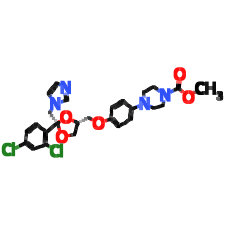 COC(=O)N1CCN(c2ccc(OC[C@@H]3CO[C@@](Cn4ccnc4)(c4ccc(Cl)cc4Cl)O3)cc2)CC1